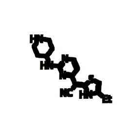 CCC1=CSC(=C(C#N)c2ccnc(NC3CCNCC3)n2)N1